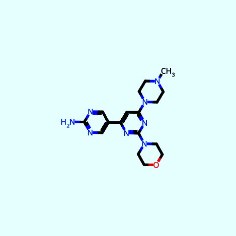 CN1CCN(c2cc(-c3cnc(N)nc3)nc(N3CCOCC3)n2)CC1